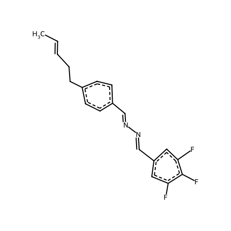 C/C=C/CCc1ccc(C=NN=Cc2cc(F)c(F)c(F)c2)cc1